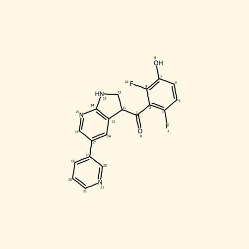 O=C(c1c(F)ccc(O)c1F)C1CNc2ncc(-c3cccnc3)cc21